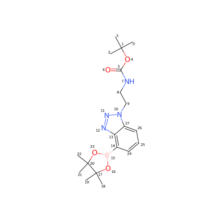 CC(C)(C)OC(=O)NCCn1nnc2c(B3OC(C)(C)C(C)(C)O3)cccc21